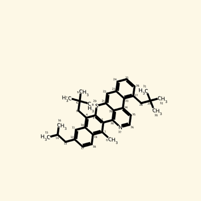 Cc1c2c(c(CC(C)(C)C)c3cc(CC(C)C)ccc13)Sc1cc3cccc(CC(C)(C)C)c3c3ccnc-2c13